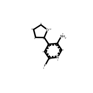 Nc1cnc(F)cc1C1CCCO1